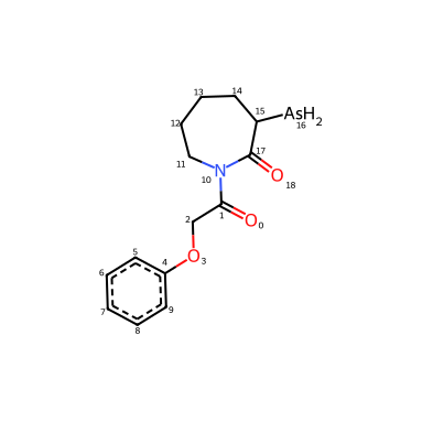 O=C(COc1ccccc1)N1CCCCC([AsH2])C1=O